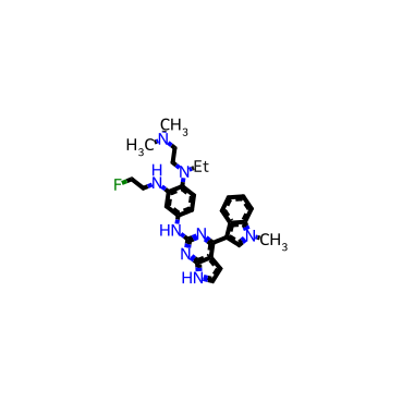 CCN(CCN(C)C)c1ccc(Nc2nc(-c3cn(C)c4ccccc34)c3cc[nH]c3n2)cc1NCCF